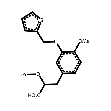 COc1ccc(CC(OC(C)C)C(=O)O)cc1OCc1cccs1